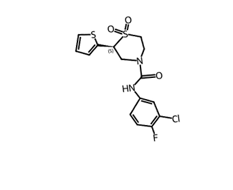 O=C(Nc1ccc(F)c(Cl)c1)N1CCS(=O)(=O)[C@H](c2cccs2)C1